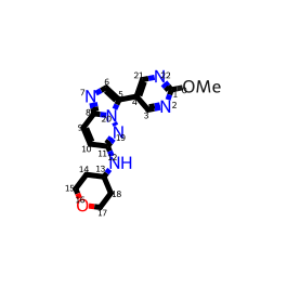 COc1ncc(-c2cnc3ccc(NC4CCOCC4)nn23)cn1